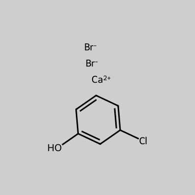 Oc1cccc(Cl)c1.[Br-].[Br-].[Ca+2]